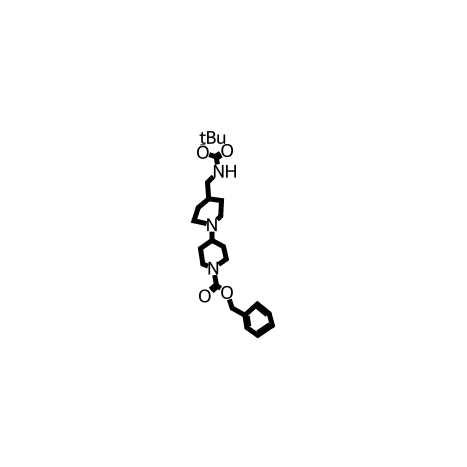 CC(C)(C)OC(=O)NCC1CCN(C2CCN(C(=O)OCc3ccccc3)CC2)CC1